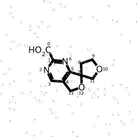 O=C(O)c1ncc2c(n1)C1(CCOC1)OC2